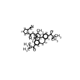 C[C@H](CC1(C(N)=O)c2ccc(C(=O)N(C)C)cc2CCc2cc(C(=O)N(C)C)ccc21)NCC(=O)N1CCCC1C#N